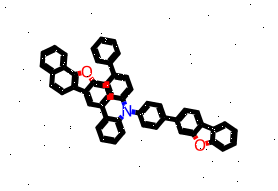 c1ccc(-c2ccc(N(c3ccc(-c4ccc5c(c4)oc4ccccc45)cc3)c3ccccc3-c3ccc4oc5c6ccccc6ccc5c4c3)cc2)cc1